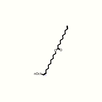 C=CCCCCCCCC(=O)OCCCCCCCC/C=C\CCCCCCCC